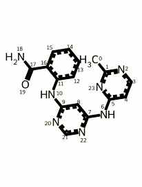 Cc1nccc(Nc2cc(Nc3ccccc3C(N)=O)ncn2)n1